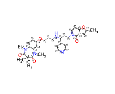 CCN1C(=O)C(C)(C)C(=O)N(C)c2cc(OCCCNC(CCn3ccc4oc(C)cc4c3=O)c3ccncc3)ccc21